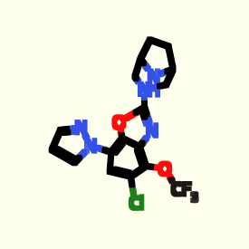 FC(F)(F)Oc1c(Cl)cc(-n2cccn2)c2oc(N3CC4CCC(C3)N4)nc12